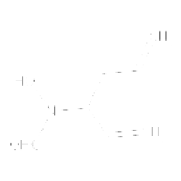 C=CCC(C=C)N(O)[C]=O